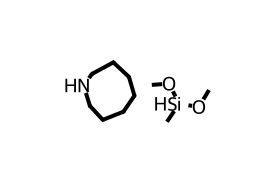 C1CCCNCCC1.CO[SiH](C)OC